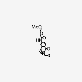 COCCOCC(=O)Nc1ccc2c(c1)[C@]1(C)CCN(CC3CC3)C(C2=O)[C@@H]1C